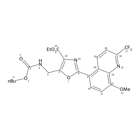 CCCCOC(=O)NCc1oc(-c2ccc(OC)c3nc(C(F)(F)F)ccc23)nc1C(=O)OCC